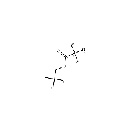 CC(C)(C)COC(=O)C(C)(C)O